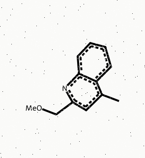 [CH2]OCc1cc(C)c2ccccc2n1